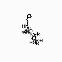 CC(=O)c1cn(CC(=O)N2C[C@H](F)C[C@H]2C(=O)NCCCCc2ccccc2)c2ccc(P(=O)(O)O)cc12